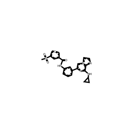 CS(=O)(=O)c1cccc(C(=O)Nc2cccc(-c3cn4ccnc4c(NC4CC4)n3)c2)c1